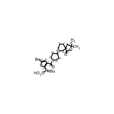 CC1(C)CC2(CCCN(C3CCN(C(=O)c4cc(Br)sc4N(C(=O)O)C(C)(C)C)CC3)C2)C(=O)O1